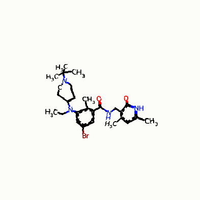 CCN(c1cc(Br)cc(C(=O)NCc2c(C)cc(C)[nH]c2=O)c1C)C1CCN(C(C)(C)C)CC1